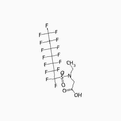 CCN(CC(=O)O)S(=O)(=O)C(F)(F)C(F)(F)C(F)(F)C(F)(F)C(F)(F)C(F)(F)C(F)(F)F